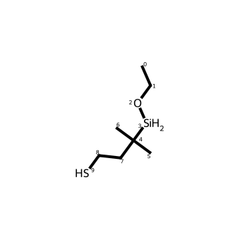 CCO[SiH2]C(C)(C)CCS